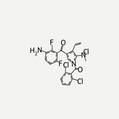 C=Cc1c(C(=O)c2c(F)ccc(N)c2F)cn(C(=O)c2c(Cl)cccc2Cl)c1N(C)Cl